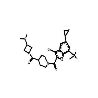 CN(C)C1CN(C(=O)C2CCN(C(=O)c3oc4c(C(F)(F)F)cc(C5CC5)cc4c3Cl)CC2)C1